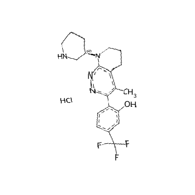 Cc1c(-c2ccc(C(F)(F)F)cc2O)nnc2c1CCCN2[C@@H]1CCCNC1.Cl